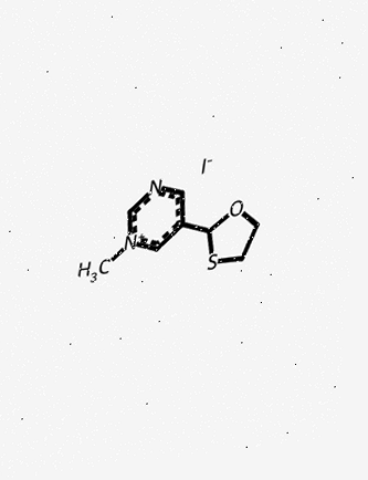 C[n+]1cncc(C2OCCS2)c1.[I-]